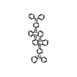 c1ccc(N(c2ccccc2)c2ccc(B3c4ccccc4B4c5cccc6c5B(c5ccccc5B6c5ccc(N(c6ccccc6)c6ccccc6)cc5)c5cccc3c54)cc2)cc1